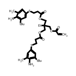 C=CC(=O)OCC(CC)(COC(=O)CCSc1cc(C)c(N)c(C(C)(C)C)c1)COC(=O)CCSc1cc(C)c(N)c(C(C)(C)C)c1